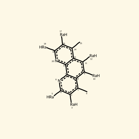 Cc1[c]([RaH])[c]([RaH])nc2c1[c]([RaH])[c]([RaH])c1c(C)[c]([RaH])[c]([RaH])nc12